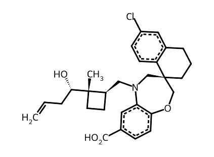 C=CC[C@H](O)[C@@]1(C)CC[C@@H]1CN1C[C@@]2(CCCc3cc(Cl)ccc32)COc2ccc(C(=O)O)cc21